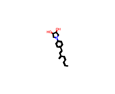 C=C(/C=C\C=C/C)/C=C/c1ccc(N2CC(O)C(O)C2)cc1